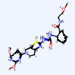 COCCNC(=O)c1ccccc1NC(=O)Nc1nc2c(s1)CN(c1cc(OC)nc(OC)n1)CC2